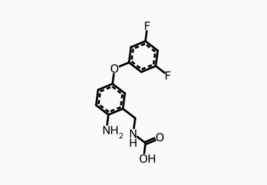 Nc1ccc(Oc2cc(F)cc(F)c2)cc1CNC(=O)O